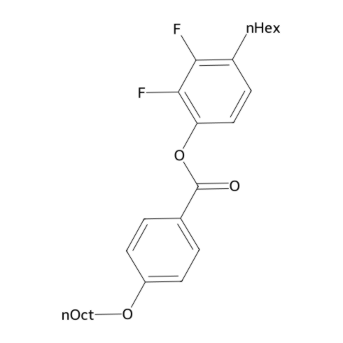 CCCCCCCCOc1ccc(C(=O)Oc2ccc(CCCCCC)c(F)c2F)cc1